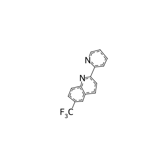 FC(F)(F)c1ccc2nc(-c3ccccn3)ccc2c1